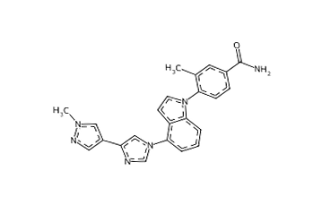 Cc1cc(C(N)=O)ccc1-n1ccc2c(-n3cnc(-c4cnn(C)c4)c3)cccc21